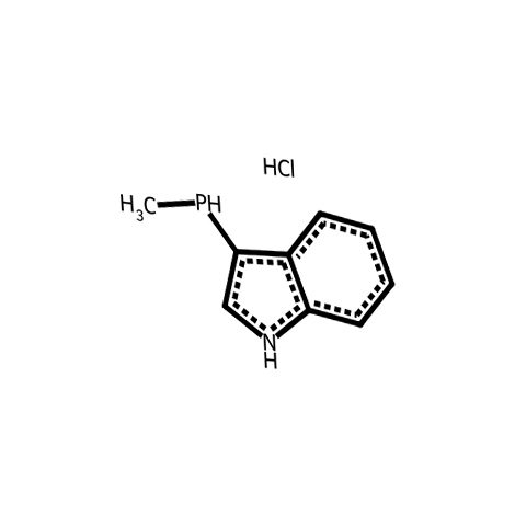 CPc1c[nH]c2ccccc12.Cl